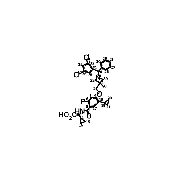 CC1(COc2cc(F)c(C(=O)N[C@H](C(=O)O)C3CC3)cc2C2CC2)CN(C(c2ccccc2)c2cc(Cl)cc(Cl)c2)C1